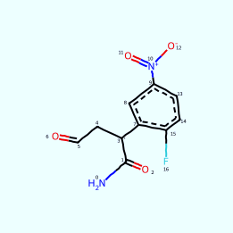 NC(=O)[C](CC=O)c1cc([N+](=O)[O-])ccc1F